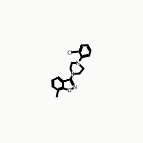 Cc1cccc2c(N3CCN(c4ccccc4Cl)CC3)noc12